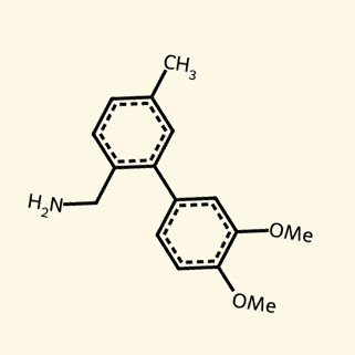 COc1ccc(-c2cc(C)ccc2CN)cc1OC